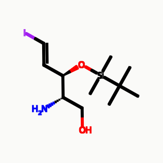 CC(C)(C)[Si](C)(C)O[C@H](/C=C/I)[C@@H](N)CO